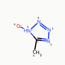 CC1=NN=N[NH+]1[O-]